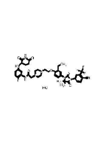 CCc1cc(N2C(=S)N(c3ccc(C#N)c(C(F)(F)F)c3)C(=O)C2(C)C)ccc1OCCN1CCN(CC(=O)Nc2cc(NC3CCC(=O)NC3=O)ccc2F)CC1.Cl